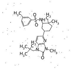 Cc1cccc(S(=O)(=O)NC2CC(c3ccc4c(n3)n(C)c(=O)n4CC(C)(C)C)CCC2(C)C)c1